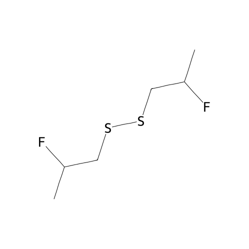 CC(F)CSSCC(C)F